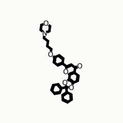 O=c1cc(-c2ccc(OCCCCN3CCOCC3)cc2)oc2c3c(ccc12)OC(c1ccccc1)(c1ccccc1)O3